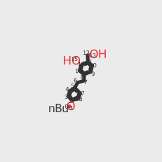 CCCCOc1ccc(CCc2ccc(CO)c(O)c2)cc1